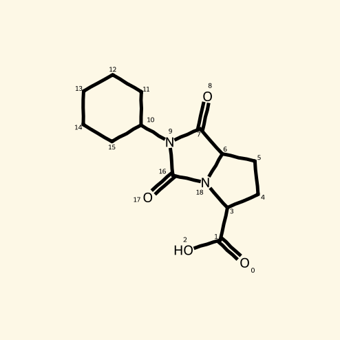 O=C(O)C1CCC2C(=O)N(C3CCCCC3)C(=O)N12